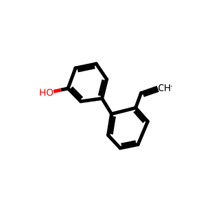 [CH]=Cc1ccccc1-c1cccc(O)c1